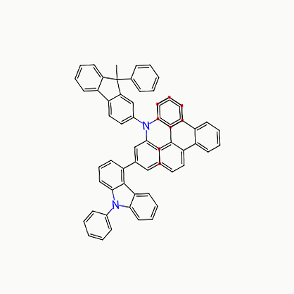 CC1(c2ccccc2)c2ccccc2-c2ccc(N(c3cccc(-c4cccc5c4c4ccccc4n5-c4ccccc4)c3)c3ccccc3-c3ccccc3-c3ccccc3-c3ccccc3)cc21